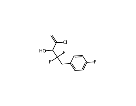 [CH]=C(Cl)C(O)C(F)(F)Cc1ccc(F)cc1